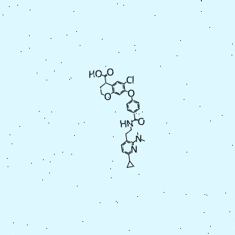 CN(C)c1nc(C2CC2)ccc1CCNC(=O)c1ccc(Oc2cc3c(cc2Cl)C(C(=O)O)CCO3)cc1